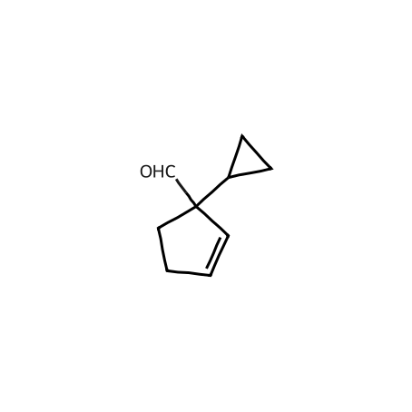 O=CC1(C2CC2)C=CCC1